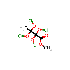 COC(=O)C(OCl)(OCl)C(C)(OCl)OCl